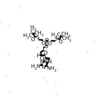 CC(C)(C)C(=O)SCCOP(=O)(OCCSC(=O)C(C)(C)C)OC[C@@H]1C[C@@](C)(F)[C@H](c2cnc3c(N)nc(N)nn23)O1